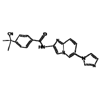 CC(C)(C#N)c1ccc(C(=O)Nc2cn3cc(-n4ccnc4)ccc3n2)cc1